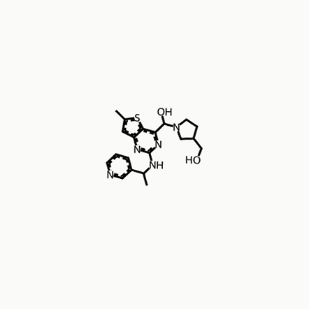 Cc1cc2nc(NC(C)c3cccnc3)nc(C(O)N3CCC(CO)C3)c2s1